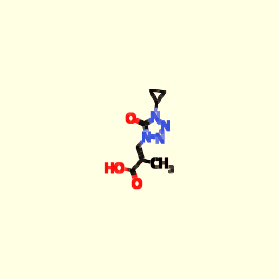 C/C(=C\n1nnn(C2CC2)c1=O)C(=O)O